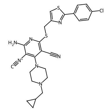 [C-]#[N+]c1c(N)nc(SCc2csc(-c3ccc(Cl)cc3)n2)c(C#N)c1N1CCN(CC2CC2)CC1